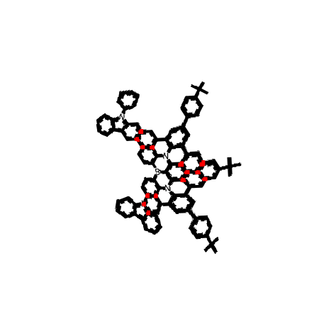 CC(C)(C)c1ccc(-c2cc(-c3ccccc3)c(N3c4cc(-c5ccc6c(c5)c5ccccc5n6-c5ccccc5)ccc4B4c5ccc(-n6c7ccccc7c7ccccc76)cc5N(c5c(-c6ccccc6)cc(-c6ccc(C(C)(C)C)cc6)cc5-c5ccccc5)c5cc(-c6ccc(C(C)(C)C)cc6)cc3c54)c(-c3ccccc3)c2)cc1